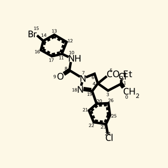 C=C(Cl)CC1(C(=O)OCC)CN(C(=O)Nc2ccc(Br)cc2)N=C1c1ccc(Cl)cc1